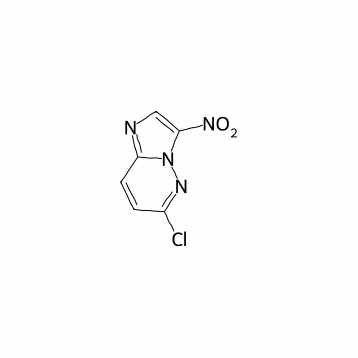 O=[N+]([O-])c1cnc2ccc(Cl)nn12